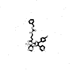 CC1(N(C(=O)CCCNC(=O)OCc2ccccc2)c2nc(-c3ccc(F)cc3)c(-c3ccncc3)[nH]2)COCOC1